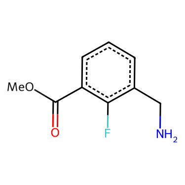 COC(=O)c1cccc(CN)c1F